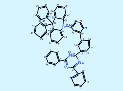 c1ccc(-c2nc(-c3ccccc3)nc(-c3cccc(-c4cccc(N5c6ccccc6C(c6ccccc6)(c6ccccc6)c6ccccc65)c4)c3)n2)cc1